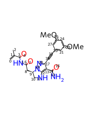 C=C(C)C(=O)NC(=O)C[C@@H]1CNc2c(C(N)=O)c(C#Cc3cc(OC)cc(OC)c3)nn21